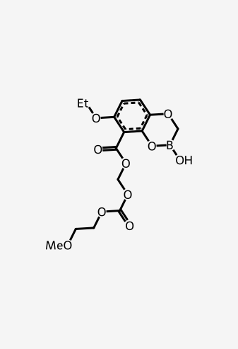 CCOc1ccc2c(c1C(=O)OCOC(=O)OCCOC)OB(O)CO2